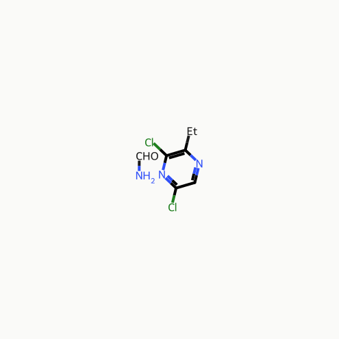 CCc1ncc(Cl)nc1Cl.NC=O